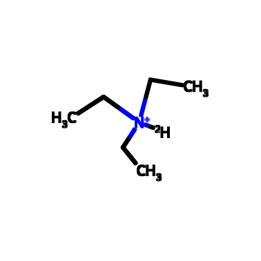 [2H][N+](CC)(CC)CC